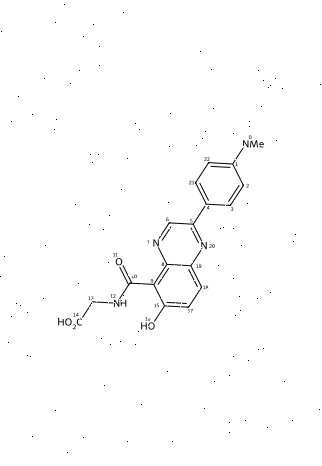 CNc1ccc(-c2cnc3c(C(=O)NCC(=O)O)c(O)ccc3n2)cc1